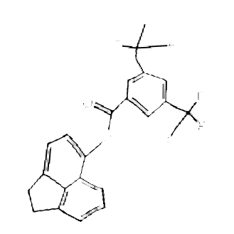 O=C(Oc1ccc2c3c(cccc13)CC2)c1cc(C(F)(F)F)cc(C(F)(F)F)c1